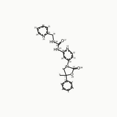 CC1(c2ccccc2)CN(c2ccnc(NC(=O)NCc3ccccn3)c2)C(=O)O1